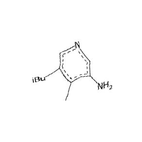 CCC(C)c1cncc(N)c1C